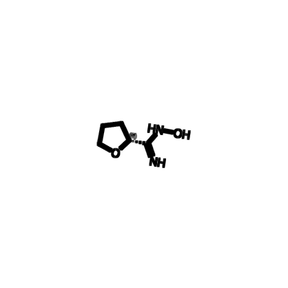 N=C(NO)[C@H]1CCCO1